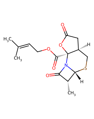 CC(C)=CCOC(=O)[C@]12OC(=O)C[C@H]1CS[C@@H]1[C@H](C)C(=O)N12